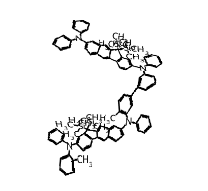 Cc1ccccc1N(c1ccccc1)c1ccc2c(c1)C([Si](C)(C)C)([Si](C)(C)C)c1cc3cc(N(c4ccccc4)c4cc(-c5cccc(N(c6ccccc6)c6ccc7c(c6)C([Si](C)(C)C)([Si](C)(C)C)c6cc8cc(N(c9ccccc9)c9ccccc9)ccc8cc6-7)c5)ccc4C)ccc3cc1-2